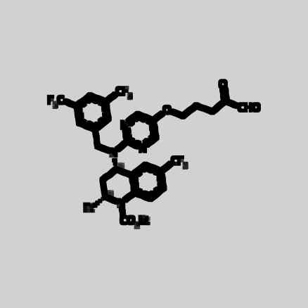 CCOC(=O)N1c2ccc(C(F)(F)F)cc2[C@@H](N(Cc2cc(C(F)(F)F)cc(C(F)(F)F)c2)c2ncc(OCCCC(=O)C=O)cn2)C[C@H]1CC